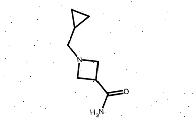 NC(=O)C1CN(CC2CC2)C1